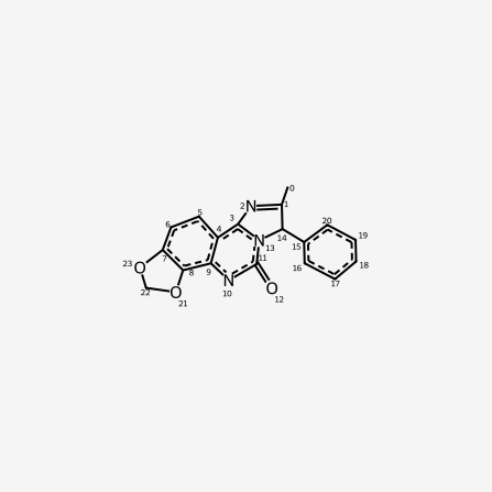 CC1=Nc2c3ccc4c(c3nc(=O)n2C1c1ccccc1)OCO4